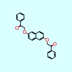 O=C(COc1ccc2cc(OCC(=O)c3ccccc3)ccc2c1)c1ccccc1